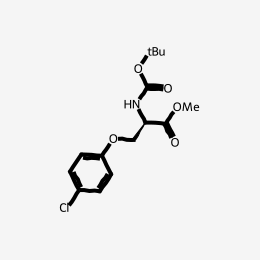 COC(=O)[C@@H](COc1ccc(Cl)cc1)NC(=O)OC(C)(C)C